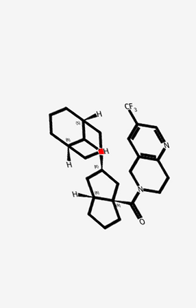 O=C(N1CCc2ncc(C(F)(F)F)cc2C1)[C@@]12CCC[C@@H]1C[C@@H](NC1[C@@H]3CCC[C@H]1COC3)C2